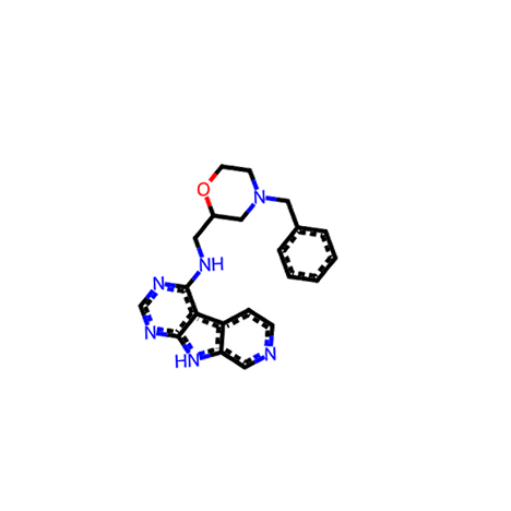 c1ccc(CN2CCOC(CNc3ncnc4[nH]c5cnccc5c34)C2)cc1